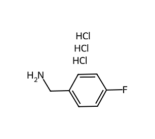 Cl.Cl.Cl.NCc1ccc(F)cc1